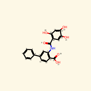 O=C(Nc1cc(-c2ccccc2)ccc1C(=O)O)c1cc(O)c(O)cc1O